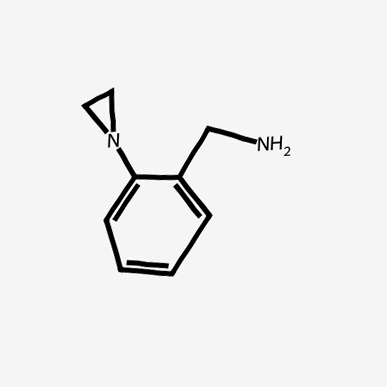 NCc1ccccc1N1CC1